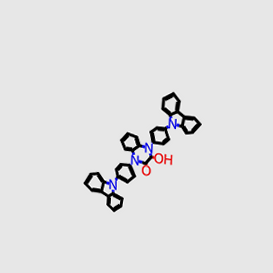 O=C1C(O)N(c2ccc(-n3c4ccccc4c4ccccc43)cc2)c2ccccc2N1c1ccc(-n2c3ccccc3c3ccccc32)cc1